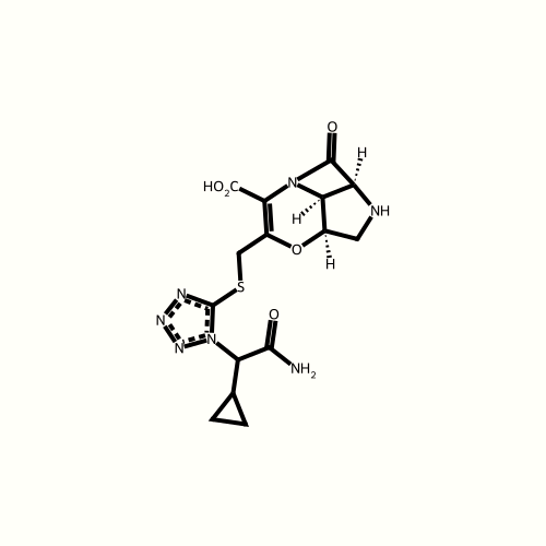 NC(=O)C(C1CC1)n1nnnc1SCC1=C(C(=O)O)N2C(=O)[C@H]3NC[C@@H](O1)[C@H]32